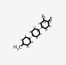 CC1CCC([C@H]2CC[C@@H](C3CCC(F)C(F)C3)CC2)CC1